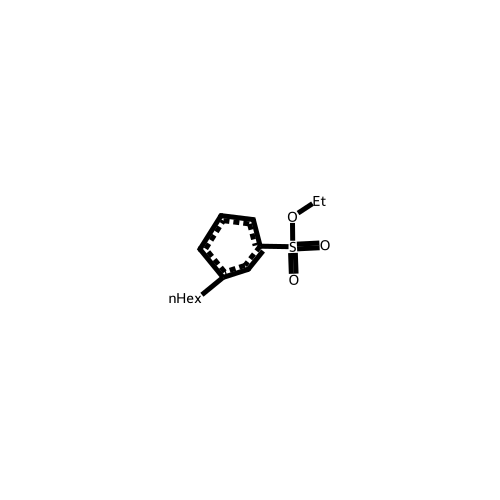 CCCCCCc1cccc(S(=O)(=O)OCC)c1